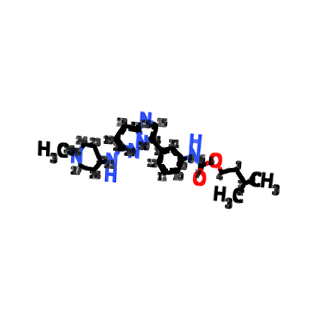 CC(C)CCOC(=O)Nc1cccc(-c2cnc3ccc(NC4CCN(C)CC4)nn23)c1